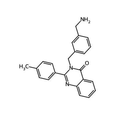 Cc1ccc(-c2nc3ccccc3c(=O)n2Cc2cccc(CN)c2)cc1